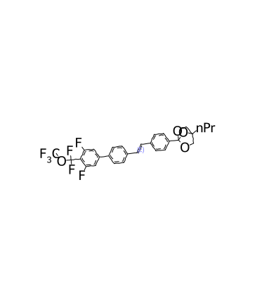 CCCC12COC(c3ccc(/C=C/c4ccc(-c5cc(F)c(C(F)(F)OC(F)(F)F)c(F)c5)cc4)cc3)(OC1)O2